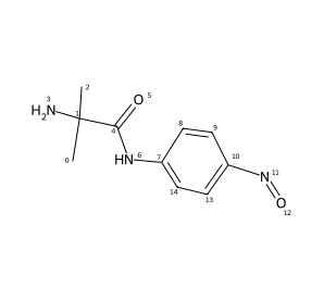 CC(C)(N)C(=O)Nc1ccc(N=O)cc1